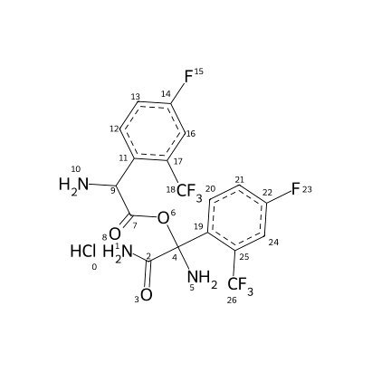 Cl.NC(=O)C(N)(OC(=O)C(N)c1ccc(F)cc1C(F)(F)F)c1ccc(F)cc1C(F)(F)F